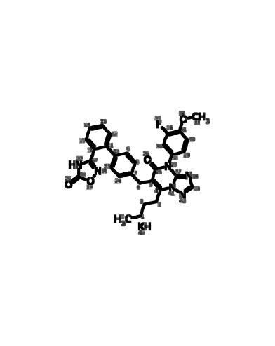 CCCCc1c(Cc2ccc(-c3ccccc3-c3noc(=O)[nH]3)cc2)c(=O)n(-c2ccc(OC)c(F)c2)c2ncnn12.[KH]